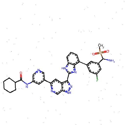 CS(=O)(=O)C(N)c1cc(F)cc(-c2cccc3[nH]c(-c4n[nH]c5cnc(-c6cncc(NC(=O)C7CCCCC7)c6)cc45)nc23)c1